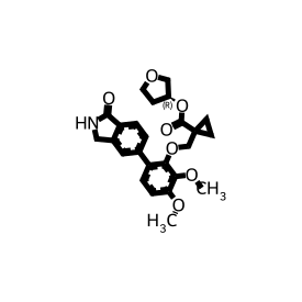 COc1ccc(-c2ccc3c(c2)CNC3=O)c(OCC2(C(=O)O[C@@H]3CCOC3)CC2)c1OC